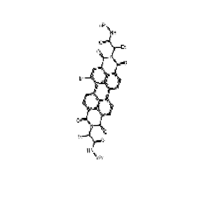 CCCNC(=O)C(CC)N1C(=O)c2ccc3c4ccc5c6c(cc(Br)c(c7ccc(c2c37)C1=O)c64)C(=O)N(C(CC)C(=O)NCCC)C5=O